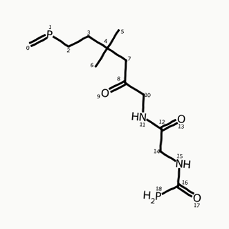 C=PCCC(C)(C)CC(=O)CNC(=O)CNC(=O)P